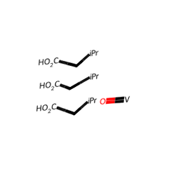 CC(C)CC(=O)O.CC(C)CC(=O)O.CC(C)CC(=O)O.[O]=[V]